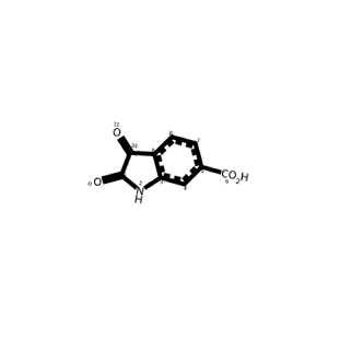 O=C1Nc2cc(C(=O)O)ccc2C1=O